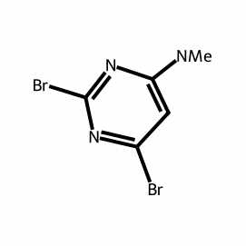 CNc1cc(Br)nc(Br)n1